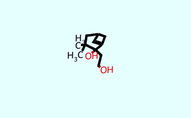 CC1(C)CC2C=C(C2)C1(O)CCO